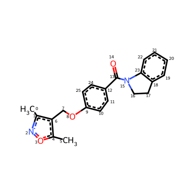 Cc1noc(C)c1COc1ccc(C(=O)N2CCc3ccccc32)cc1